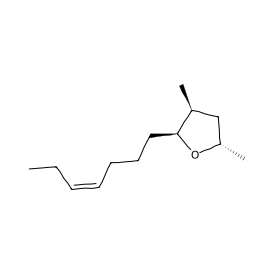 CC/C=C\CCC[C@@H]1O[C@@H](C)C[C@@H]1C